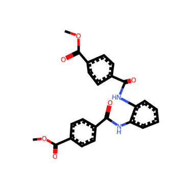 COC(=O)c1ccc(C(=O)Nc2ccccc2NC(=O)c2ccc(C(=O)OC)cc2)cc1